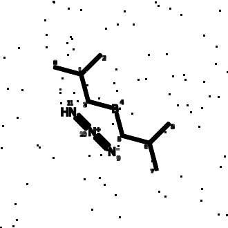 CC(C)C[B]CC(C)C.[N-]=[N+]=N